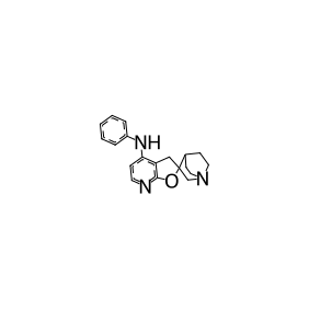 c1ccc(Nc2ccnc3c2CC2(CN4CCC2CC4)O3)cc1